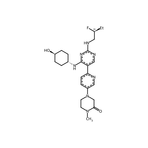 CC[C@H](F)CNc1ncc(-c2ccc(N3CCN(C)C(=O)C3)cn2)c(N[C@H]2CC[C@H](O)CC2)n1